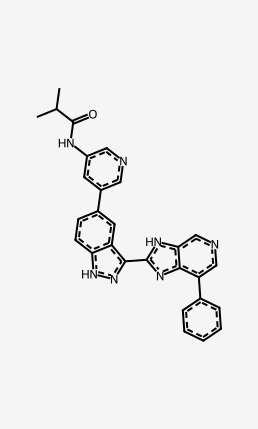 CC(C)C(=O)Nc1cncc(-c2ccc3[nH]nc(-c4nc5c(-c6ccccc6)cncc5[nH]4)c3c2)c1